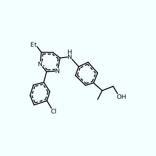 CCc1cc(Nc2ccc(C(C)CO)cc2)nc(-c2cccc(Cl)c2)n1